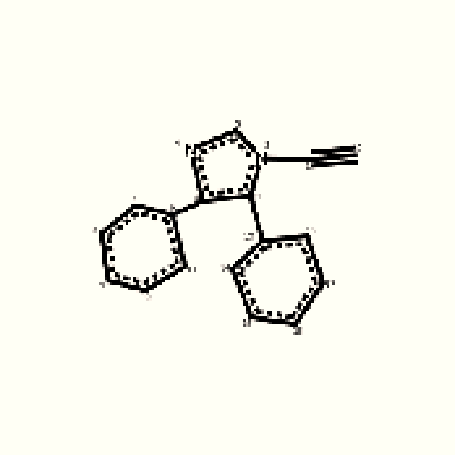 C#Cn1cnc(-c2ccccc2)c1-c1ccccc1